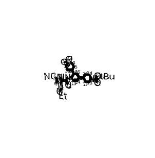 CCOCn1cc(C#N)nc1C(=O)Nc1ccc(C2CCN(C(=O)OC(C)(C)C)CC2)cc1C1=CCS(=O)(=O)CC1